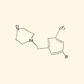 FC(F)(F)c1cc(Br)cc(CN2CCNCC2)c1